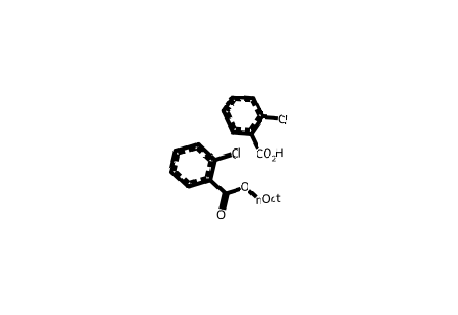 CCCCCCCCOC(=O)c1ccccc1Cl.O=C(O)c1ccccc1Cl